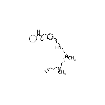 CN(CCCCN(C)CCCN1CC1)CCCNCCSc1ccc(CC(=O)NC2CCCCCC2)cc1